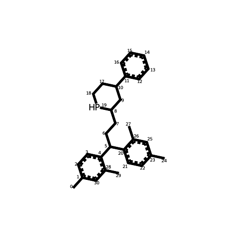 Cc1ccc(C(CCC2CC(c3ccccc3)CCP2)c2ccc(C)cc2C)c(C)c1